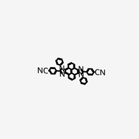 N#Cc1ccc(-c2nc3c4cccc5c4c4c(cccc4c3n2-c2ccccc2)c2nc(-c3ccc(C#N)cc3)n(-c3ccccc3)c52)cc1